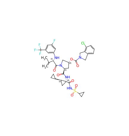 C=C(C)[C@H](Nc1cc(F)cc(C(F)(F)F)c1)C(=O)N1C[C@H](OC(=O)N2Cc3cccc(Cl)c3C2)C[C@H]1C(=O)N[C@]1(C(=O)NS(=O)(=O)C2CC2)C[C@H]1C1CC1